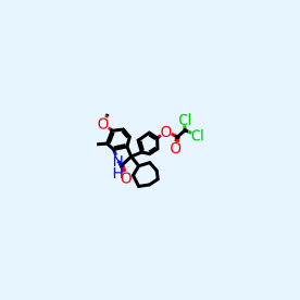 COc1ccc2c(c1C)NC(=O)C2(c1ccc(OC(=O)C(Cl)Cl)cc1)C1CCCCCC1